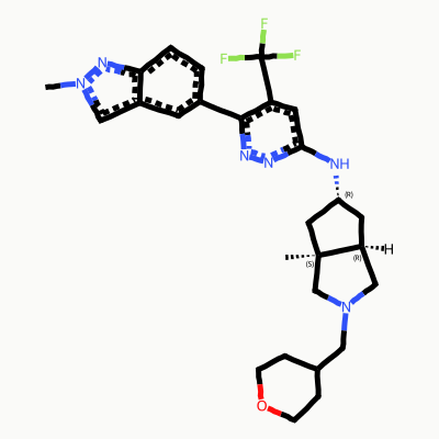 Cn1cc2cc(-c3nnc(N[C@@H]4C[C@H]5CN(CC6CCOCC6)C[C@@]5(C)C4)cc3C(F)(F)F)ccc2n1